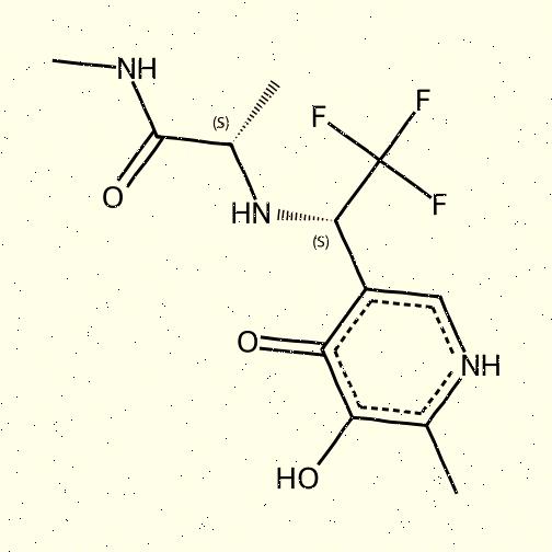 CNC(=O)[C@H](C)N[C@@H](c1c[nH]c(C)c(O)c1=O)C(F)(F)F